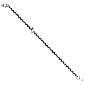 CCCCCCCCC=CCCCCCCCCCCCC(=O)OCCCCCCCCCCCCCCCCCCCCCCCCCCCCCCCCCCCCCCCC